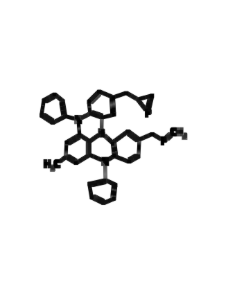 C=PCc1ccc2c(c1)B1c3cc(CC4C=P4)ccc3N(c3ccccc3)c3cc(C)cc(c31)N2c1ccccc1